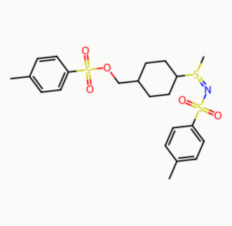 Cc1ccc(S(=O)(=O)N=S(C)C2CCC(COS(=O)(=O)c3ccc(C)cc3)CC2)cc1